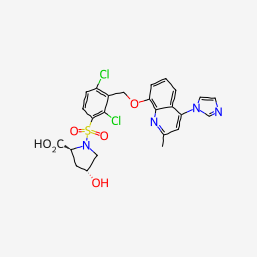 Cc1cc(-n2ccnc2)c2cccc(OCc3c(Cl)ccc(S(=O)(=O)N4C[C@H](O)C[C@H]4C(=O)O)c3Cl)c2n1